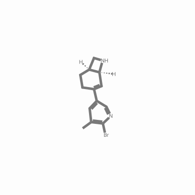 Cc1cc(C2=C[C@@H]3NC[C@@H]3CC2)cnc1Br